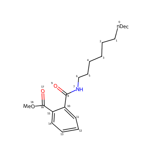 CCCCCCCCCCCCCCCCNC(=O)c1ccccc1C(=O)OC